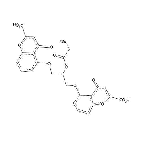 CC(C)(C)CC(=O)OC(COc1cccc2oc(C(=O)O)cc(=O)c12)COc1cccc2oc(C(=O)O)cc(=O)c12